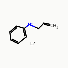 C=CC[N-]c1ccccc1.[Li+]